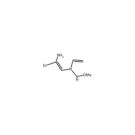 C=CN(BOC)/C=C(\N)CC